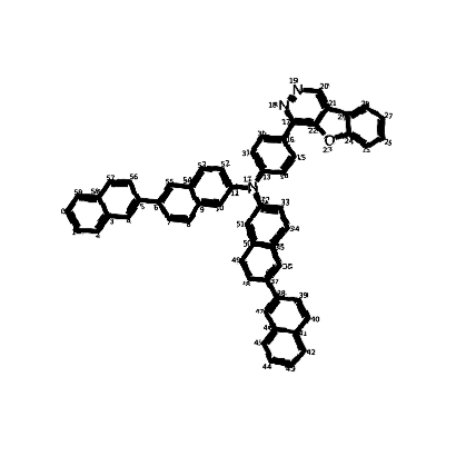 c1ccc2cc(-c3ccc4cc(N(c5ccc(-c6nncc7c6oc6ccccc67)cc5)c5ccc6cc(-c7ccc8ccccc8c7)ccc6c5)ccc4c3)ccc2c1